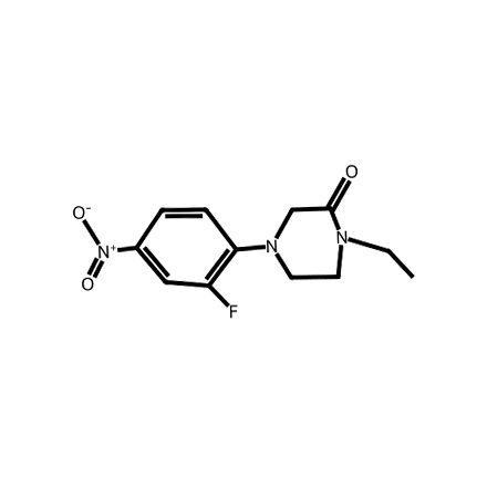 CCN1CCN(c2ccc([N+](=O)[O-])cc2F)CC1=O